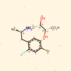 N#C[C@@H](N)Cc1ccc(Br)cc1F.O=C(O)[C@H](O)[C@@H](O)C(=O)O